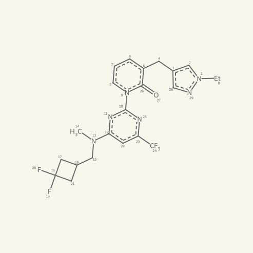 CCn1cc(Cc2cccn(-c3nc(N(C)CC4CC(F)(F)C4)cc(C(F)(F)F)n3)c2=O)cn1